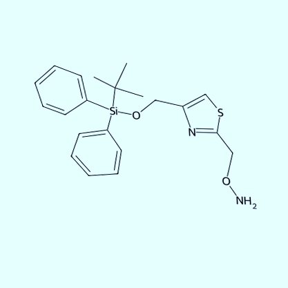 CC(C)(C)[Si](OCc1csc(CON)n1)(c1ccccc1)c1ccccc1